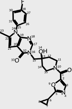 O=C(c1cnc(C2CC2)o1)N1CCC(O)(Cn2cnc3c(cc(Cl)n3-c3ccc(F)cc3)c2=O)CC1